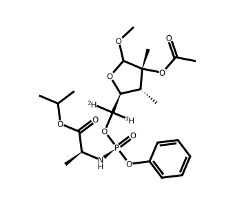 [2H]C([2H])(O[P@@](=O)(N[C@@H](C)C(=O)OC(C)C)Oc1ccccc1)[C@H]1OC(OC)[C@](C)(OC(C)=O)[C@@H]1C